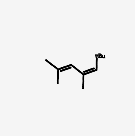 CCCCC=C(C)C=C(C)C